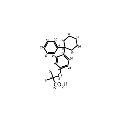 CC(C)(Oc1ccc(C2(c3ccccc3)CCCCC2)cc1)C(=O)O